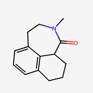 CN1CCc2cccc3c2C(CCC3)C1=O